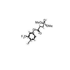 COP(=O)(CCC(=O)Oc1ccc(F)c(C(F)(F)F)c1)OC